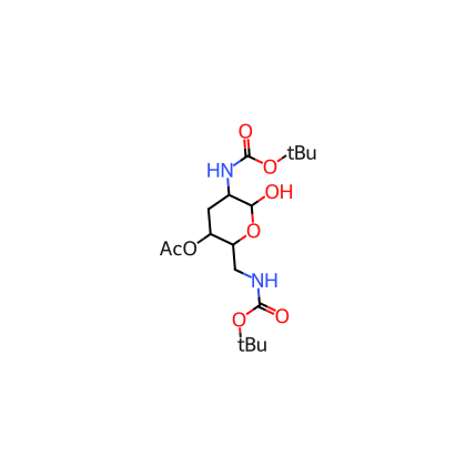 CC(=O)OC1CC(NC(=O)OC(C)(C)C)C(O)OC1CNC(=O)OC(C)(C)C